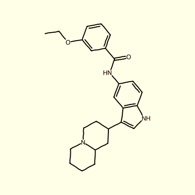 CCOc1cccc(C(=O)Nc2ccc3[nH]cc(C4CCN5CCCCC5C4)c3c2)c1